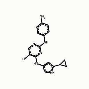 Nc1ccc(Nc2ncc(Cl)c(Nc3cc(C4CC4)[nH]n3)n2)cc1